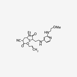 C=CCOC(=O)C(C#N)CC1SC(CCNc2ccnc(NCCOC)c2)C(=O)N1CC